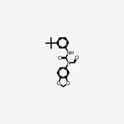 CC(C)(C)c1cccc(NC(=O)N(C=O)c2ccc3c(c2)OCO3)c1